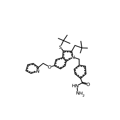 CC(C)(C)Cc1c(SC(C)(C)C)c2cc(OCc3ccccn3)ccc2n1Cc1ccc(C(=O)NN)cc1